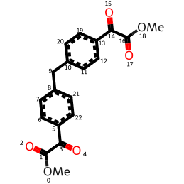 COC(=O)C(=O)c1ccc(Cc2ccc(C(=O)C(=O)OC)cc2)cc1